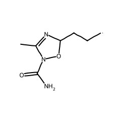 [CH2]CCC1N=C(C)N(C(N)=O)O1